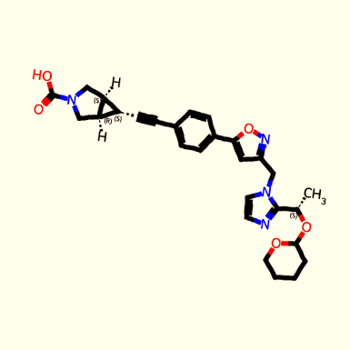 C[C@H](OC1CCCCO1)c1nccn1Cc1cc(-c2ccc(C#C[C@@H]3[C@H]4CN(C(=O)O)C[C@@H]34)cc2)on1